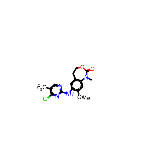 COc1cc2c(cc1Nc1ncc(C(F)(F)F)c(Cl)n1)CCOC(=O)N2C